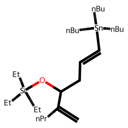 C=C(CCC)C(C/C=[CH]/[Sn]([CH2]CCC)([CH2]CCC)[CH2]CCC)O[Si](CC)(CC)CC